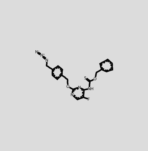 [N-]=[N+]=NCc1ccc(COc2ncc(F)c(NC(=S)OCc3ccccc3)n2)cc1